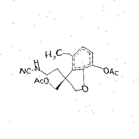 CC(=O)OC[C@]1(CCNC#N)COc2c(OC(C)=O)ccc(C)c21